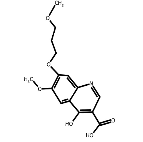 COCCCOc1cc2ncc(C(=O)O)c(O)c2cc1OC